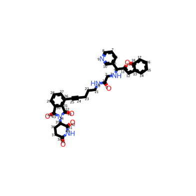 O=C(CNC(c1cccnc1)c1cc2ccccc2o1)NCCCC#Cc1cccc2c1C(=O)N(C1CCC(=O)NC1=O)C2=O